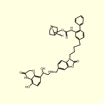 O=C1COc2c(C(O)CNCc3ccc4c(c3)oc(=O)n4CCCCc3ccc(-c4ccccc4)c(NC(=O)O[C@H]4CN5CCC4CC5)c3)ccc(O)c2N1